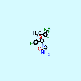 C[C@@H](OC1CCC(CN2CCC[C@H]2C(N)=O)C1c1ccc(F)cc1)c1cc(F)cc(C(F)(F)F)c1